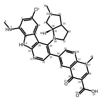 CNc1cc(Cl)cc2c1[nH]c1ncc(-c3cnc4c(c3)c(=O)c(C(=O)O)cn4C)c(N3CCC4CN(C)C[C@H]43)c12